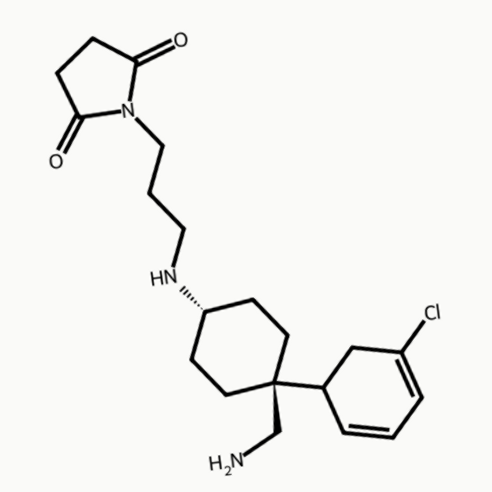 NC[C@]1(C2C=CC=C(Cl)C2)CC[C@@H](NCCCN2C(=O)CCC2=O)CC1